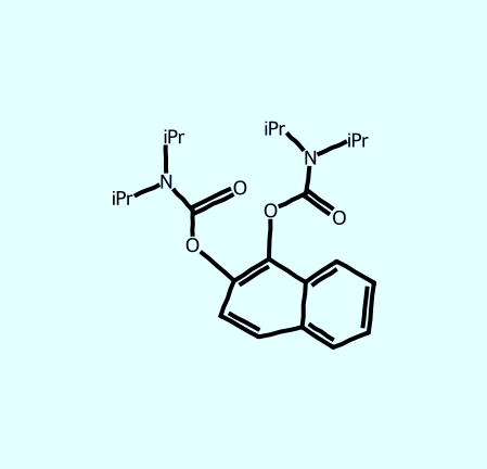 CC(C)N(C(=O)Oc1ccc2ccccc2c1OC(=O)N(C(C)C)C(C)C)C(C)C